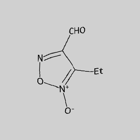 CCc1c(C=O)no[n+]1[O-]